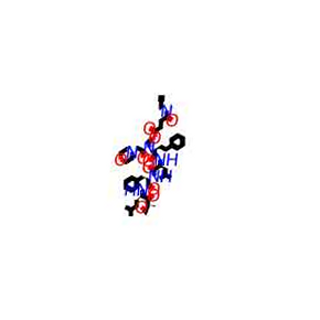 C#CCN(C)C(=O)CCC(=O)OCN(C(=O)CN1CCOCC1)[C@@H](CCc1ccccc1)C(=O)N[C@@H](CC(C)C)C(=O)N[C@@H](Cc1ccccc1)C(=O)N[C@@H](CCC(C)C)C(=O)[C@@]1(C)CO1